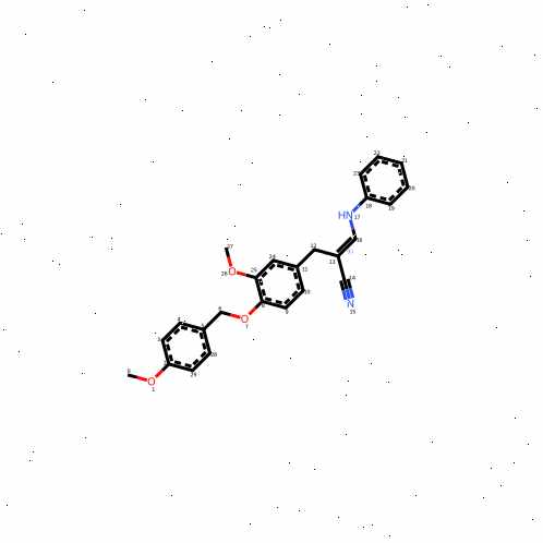 COc1ccc(COc2ccc(C/C(C#N)=C\Nc3ccccc3)cc2OC)cc1